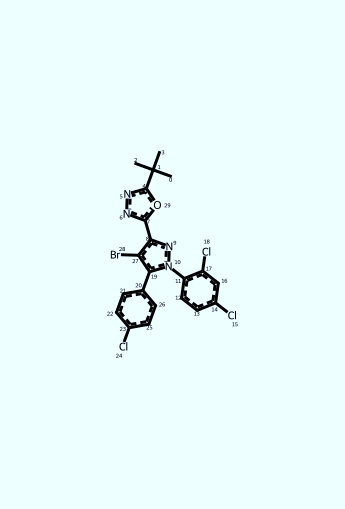 CC(C)(C)c1nnc(-c2nn(-c3ccc(Cl)cc3Cl)c(-c3ccc(Cl)cc3)c2Br)o1